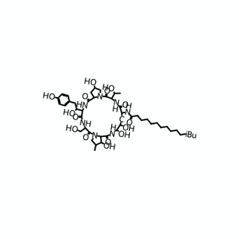 CCC(C)CCCCCCCCCCC(=O)NC1CC(O)C(O)NC(=O)C2C(O)C(C)CN2C(=O)C(CO)NC(=O)C(C(O)Cc2ccc(O)cc2)NC(=O)C2CC(O)CN2C(=O)C(C(C)O)NC1=O